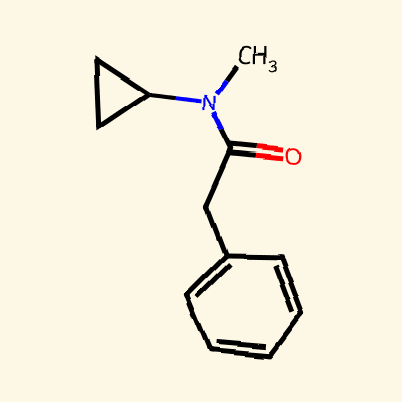 CN(C(=O)Cc1ccccc1)C1CC1